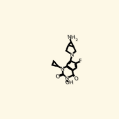 NC1C2CN(c3cc4c(cc3F)c(=O)n(O)c(=O)n4C3CC3)CC12